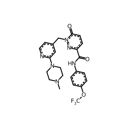 CN1CCN(c2cc(Cn3nc(C(=O)Nc4ccc(OC(F)(F)F)cc4)ccc3=O)ccn2)CC1